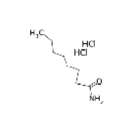 CCCCCCCC(N)=O.Cl.Cl